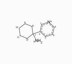 NC1(c2cccnc2)CCCCC1